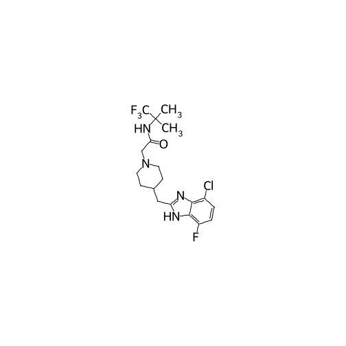 CC(C)(NC(=O)CN1CCC(Cc2nc3c(Cl)ccc(F)c3[nH]2)CC1)C(F)(F)F